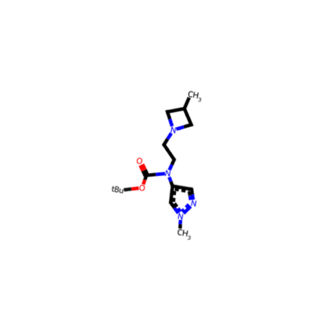 CC1CN(CCN(C(=O)OC(C)(C)C)c2cnn(C)c2)C1